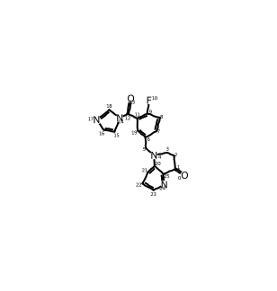 O=C1CCN(Cc2ccc(F)c(C(=O)n3ccnc3)c2)c2cccnc21